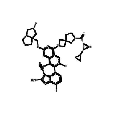 N#Cc1c(N)sc2c(F)ccc(-c3c(Cl)cc4c(N5CC6(CCN(C(=O)[C@@H]7N[C@H]7C7CC7)C6)C5)nc(OC[C@@]56CCCN5C[C@H](F)C6)nc4c3F)c12